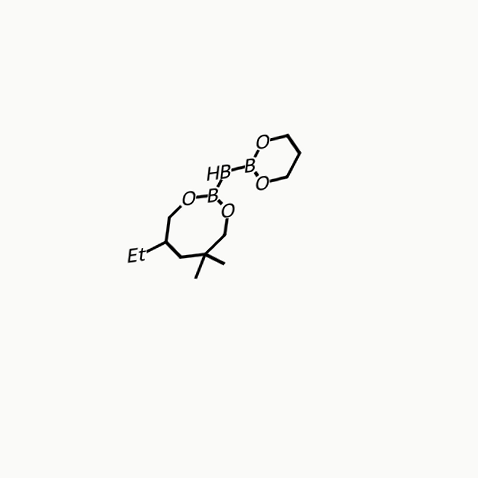 CCC1COB(BB2OCCCO2)OCC(C)(C)C1